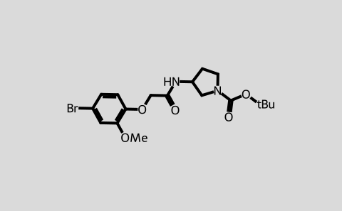 COc1cc(Br)ccc1OCC(=O)NC1CCN(C(=O)OC(C)(C)C)C1